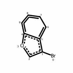 Brc1coc2c1=CC=C=C=2